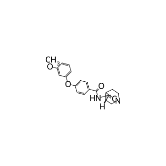 COc1cccc(Oc2ccc(C(=O)N[C@H]3CN4CCC3CC4)cc2)c1